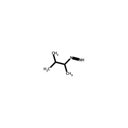 CC(C)C(C)N=N